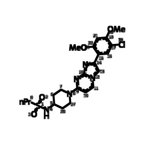 CCCS(=O)(=O)NC1CCN(c2ccn3cc(-c4cc(Cl)c(OC)cc4OC)nc3n2)CC1